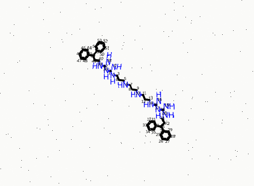 N=C(NCCCNCCCNCCCNC(=N)NC(=N)NCCC(c1ccccc1)c1ccccc1)NC(=N)NCCC(c1ccccc1)c1ccccc1